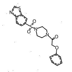 O=C(COc1ccccc1)N1CCN(S(=O)(=O)c2ccc3ncsc3c2)CC1